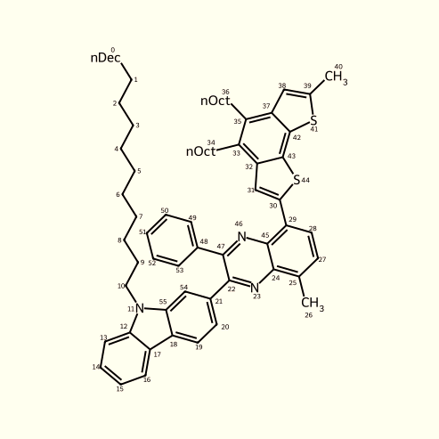 CCCCCCCCCCCCCCCCCCCCn1c2ccccc2c2ccc(-c3nc4c(C)ccc(-c5cc6c(CCCCCCCC)c(CCCCCCCC)c7cc(C)sc7c6s5)c4nc3-c3ccccc3)cc21